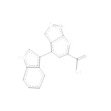 NC(=O)c1cc(-c2c[nH]c3ccccc23)c2cn[nH]c2n1